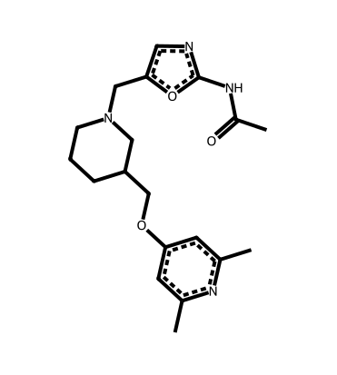 CC(=O)Nc1ncc(CN2CCCC(COc3cc(C)nc(C)c3)C2)o1